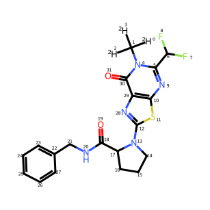 [2H]C([2H])([2H])n1c(C(F)F)nc2sc(N3CCCC3C(=O)NCc3ccccc3)nc2c1=O